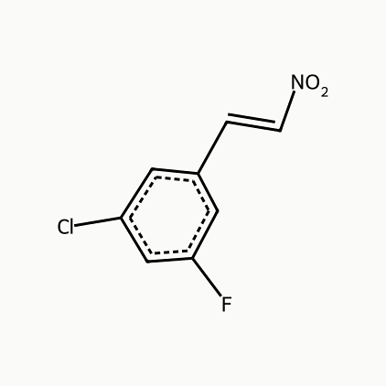 O=[N+]([O-])C=Cc1cc(F)cc(Cl)c1